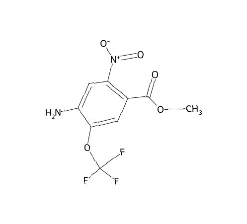 COC(=O)c1cc(OC(F)(F)F)c(N)cc1[N+](=O)[O-]